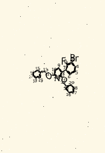 Fc1c(Br)cccc1-c1ccc(OCc2ccccc2)nc1OCc1ccccc1